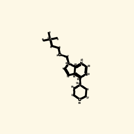 C[Si](C)(C)CCOCn1ccc2c(N3CCOCC3)ncnc21